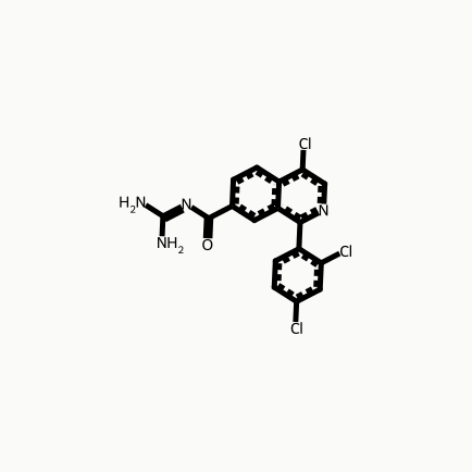 NC(N)=NC(=O)c1ccc2c(Cl)cnc(-c3ccc(Cl)cc3Cl)c2c1